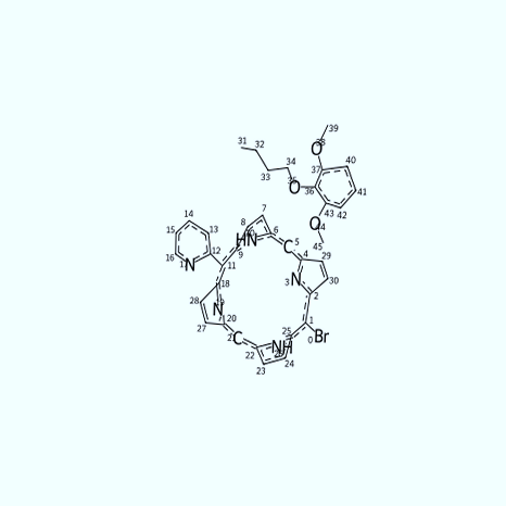 Brc1c2nc(cc3ccc([nH]3)c(-c3ccccn3)c3nc(cc4ccc1[nH]4)C=C3)C=C2.CCCCOc1c(OC)cccc1OC